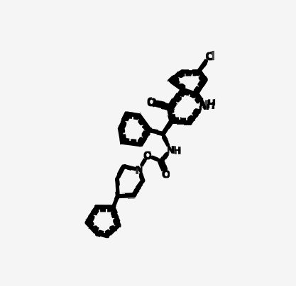 O=C(NC(c1ccccc1)c1c[nH]c2cc(Cl)ccc2c1=O)ON1CCC(c2ccccc2)CC1